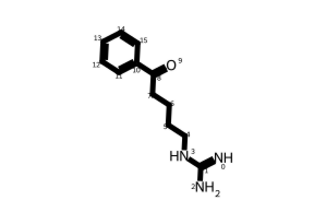 N=C(N)NCCC[CH]C(=O)c1ccccc1